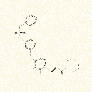 O=C(/C=C/c1ccc(Sc2cccc(NS(=O)(=O)Cc3cccnc3)c2)c(C(F)(F)F)c1C(F)(F)F)N1CCOCC1